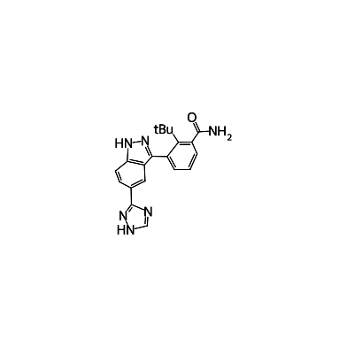 CC(C)(C)c1c(C(N)=O)cccc1-c1n[nH]c2ccc(-c3nc[nH]n3)cc12